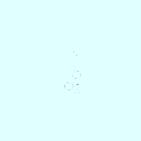 CC(C)c1cc(CC(C)c2ccccc2OCCN2CCOCC2)cc(S(C)(=O)=O)c1